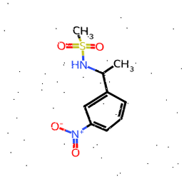 CC(NS(C)(=O)=O)c1cccc([N+](=O)[O-])c1